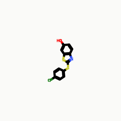 Oc1ccc2nc(Sc3ccc(Cl)cc3)sc2c1